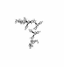 O=[Si]([O-])[O-].O=[Si]([O-])[O-].O=[Si]([O-])[O-].[Al+3].[Al+3].[MgH2].[MgH2].[Zn].[Zn]